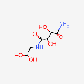 NC(=O)C(O)C(O)C(=O)NCC(O)O